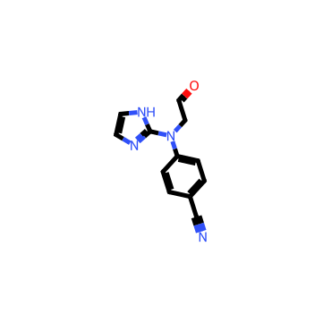 N#Cc1ccc(N(CC=O)c2ncc[nH]2)cc1